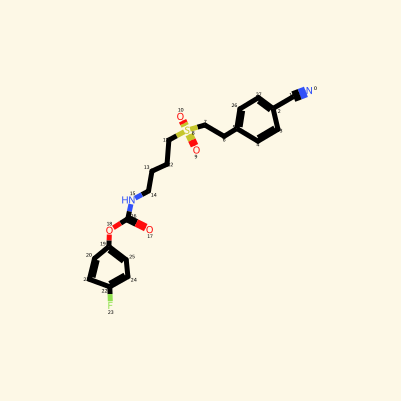 N#Cc1ccc(CCS(=O)(=O)CCCCNC(=O)Oc2ccc(F)cc2)cc1